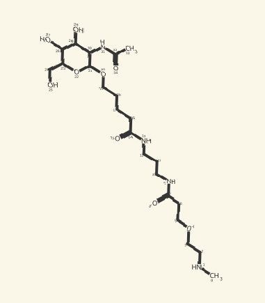 CNCCOCCC(=O)NCCCNC(=O)CCCCOC1OC(CO)C(O)C(O)C1NC(C)=O